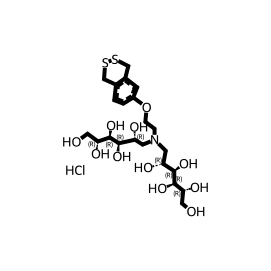 Cl.OC[C@@H](O)[C@@H](O)[C@H](O)[C@H](O)CN(CCOc1ccc2c(c1)CSSC2)C[C@@H](O)[C@@H](O)[C@H](O)[C@H](O)CO